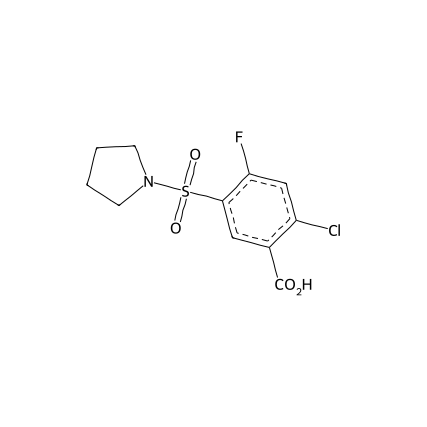 O=C(O)c1cc(S(=O)(=O)N2CCCC2)c(F)cc1Cl